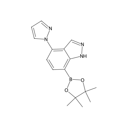 CC1(C)OB(c2ccc(-n3cccn3)c3cn[nH]c23)OC1(C)C